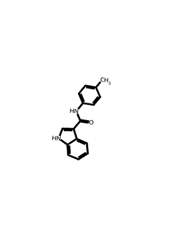 Cc1ccc(NC(=O)c2c[nH]c3ccccc23)cc1